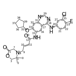 CC1(C)COC(=O)CN1C/C=C/C(=O)Nc1cc2c(Nc3ccc(F)c(Cl)c3)ncnc2cc1OC1CCCC1